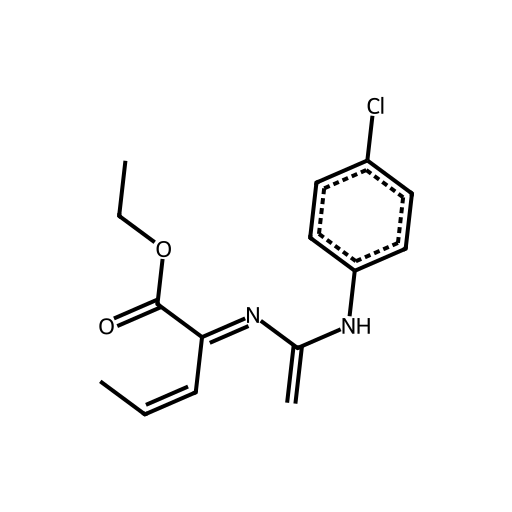 C=C(/N=C(\C=C/C)C(=O)OCC)Nc1ccc(Cl)cc1